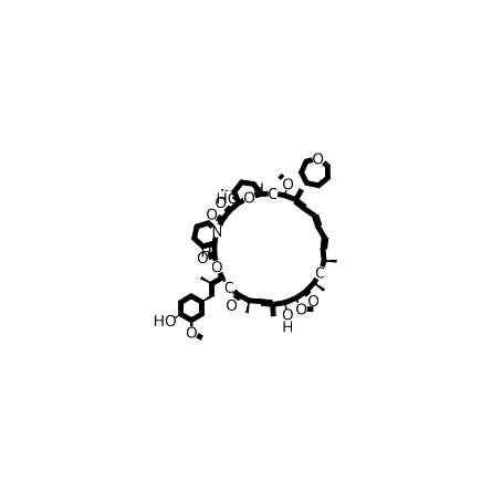 C1CCCOCC1.CO[C@H]1C[C@@H]2CC[C@@H](C)[C@@](O)(O2)C(=O)C(=O)N2CCCC[C@H]2C(=O)O[C@H]([C@H](C)C[C@@H]2CC[C@@H](O)[C@H](OC)C2)CC(=O)[C@H](C)/C=C(\C)[C@@H](O)[C@@H](OC)C(=O)[C@H](C)C[C@H](C)/C=C/C=C/C=C/1C